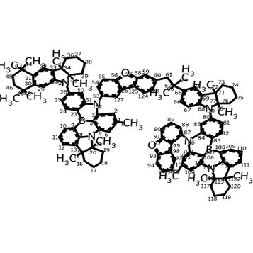 Cc1cc2c3c(c1)N1c4c(cccc4C4(C)CCCCC14C)B3c1ccc(N3c4cc5c(cc4C4(C)CCCC[C@]34C)C(C)(C)CCC5(C)C)cc1N2c1ccc2oc3cc(CC(C)(C)c4ccc5c(c4)C4(C)CCCCC4(C)N5c4ccc5c(c4)N(c4cccc6oc7ccccc7c46)c4cc(C)cc6c4B5c4cccc5c4N6C4(C)CCCCC54C)ccc3c2c1